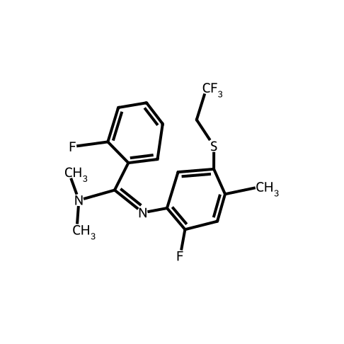 Cc1cc(F)c(/N=C(\c2ccccc2F)N(C)C)cc1SCC(F)(F)F